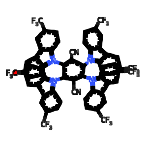 N#Cc1c(-n2c3ccc(C(F)(F)F)cc3c3cc(C(F)(F)F)ccc32)c(-n2c3ccc(C(F)(F)F)cc3c3cc(C(F)(F)F)ccc32)c(C#N)c(-n2c3ccc(C(F)(F)F)cc3c3cc(C(F)(F)F)ccc32)c1-n1c2ccc(C(F)(F)F)cc2c2cc(C(F)(F)F)ccc21